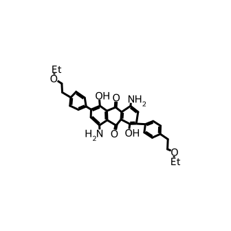 CCOCCc1ccc(-c2cc(N)c3c(c2O)C(=O)c2c(N)cc(-c4ccc(CCOCC)cc4)c(O)c2C3=O)cc1